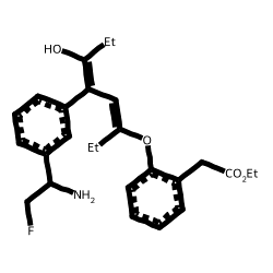 CCOC(=O)Cc1ccccc1O/C(=C/C(=C(/O)CC)c1cccc(C(N)CF)c1)CC